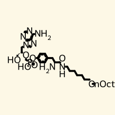 CCCCCCCCOCCCCCCCNC(=O)[C@@H](N)Cc1ccc(OP(=O)(O)CO[C@H](CO)Cn2cnc3c(N)ncnc32)cc1